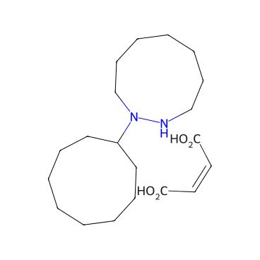 C1CCCCC(N2CCCCCCCN2)CCC1.O=C(O)/C=C\C(=O)O